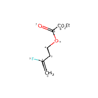 C=C(F)CCOC(=O)C(=O)OCC